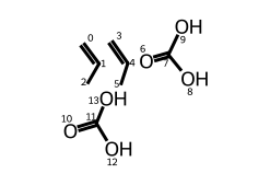 C=CC.C=CC.O=C(O)O.O=C(O)O